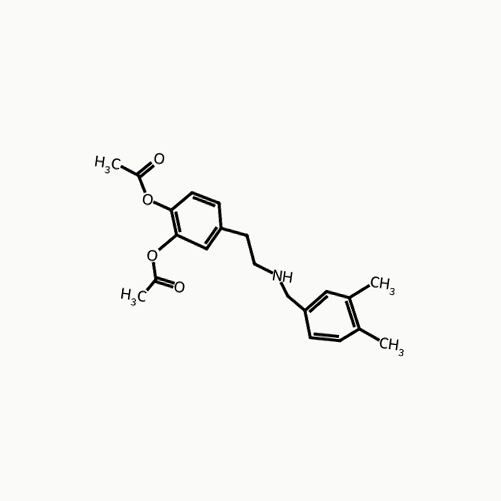 CC(=O)Oc1ccc(CCNCc2ccc(C)c(C)c2)cc1OC(C)=O